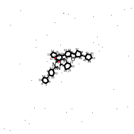 c1ccc(-c2ccc(-c3nc(-c4ccccc4)nc(-c4ccccc4-n4c5ccccc5c5ccc6c7ccc(-c8ccccc8)cc7oc6c54)n3)cc2)cc1